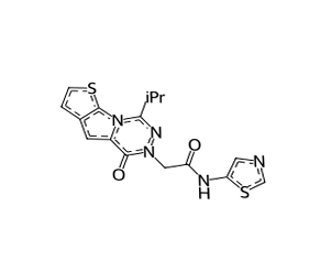 CC(C)c1nn(CC(=O)Nc2cncs2)c(=O)c2cc3ccsc3n12